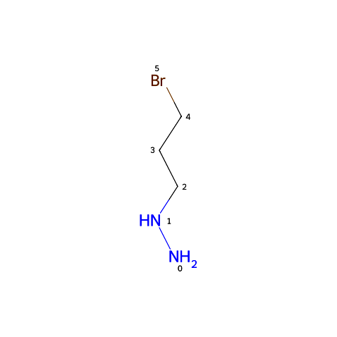 NNCCCBr